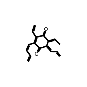 C=C/C=C\C1=C(C=C)C(=O)C(=C/C)/C(=C\C=C)C1=O